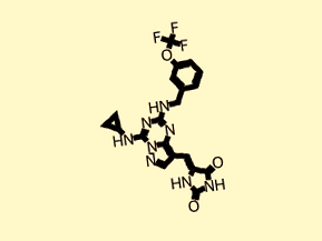 O=C1NC(=O)/C(=C/c2cnn3c(NC4CC4)nc(NCc4cccc(OC(F)(F)F)c4)nc23)N1